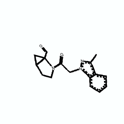 Cc1nn(CC(=O)N2CCC3CC32C=O)c2ccccc12